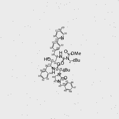 COC(=O)N(CC(C)(C)C)C(=O)NC(Cc1ccc(-c2ccc(C)cn2)cc1)CC(O)C(Cc1ccccc1)NC(=O)C(N1CCN(Cc2ccccc2)C1=O)C(C)(C)C